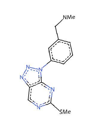 CNCc1cccc(-n2nnc3cnc(SC)nc32)c1